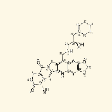 O=C1OCc2c(cc3n(c2=O)Cc2c-3nc3cc4c(cc3c2CNC[C@H](O)CN2CCCCC2)OCO4)[C@@H]1O